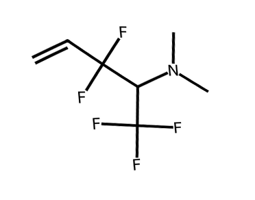 C=CC(F)(F)C(N(C)C)C(F)(F)F